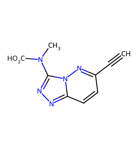 C#Cc1ccc2nnc(N(C)C(=O)O)n2n1